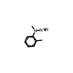 Cc1ccccc1N(C)[N+]#N